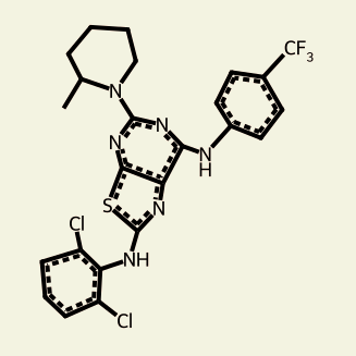 CC1CCCCN1c1nc(Nc2ccc(C(F)(F)F)cc2)c2nc(Nc3c(Cl)cccc3Cl)sc2n1